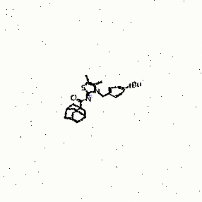 Cc1s/c(=N\C(=O)C23CC4CC(CC(C4)C2)C3)n(Cc2ccc(C(C)(C)C)cc2)c1C